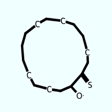 [O]C1CCCCCCCCCCCCCCC1=S